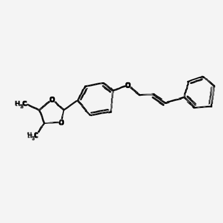 CC1OC(c2ccc(OCC=Cc3ccccc3)cc2)OC1C